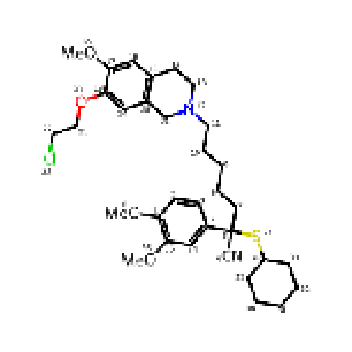 COc1ccc(C(C#N)(CCCCCN2CCc3cc(OC)c(OCCCl)cc3C2)SC2CCCCC2)cc1OC